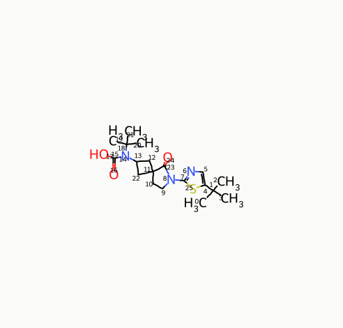 CC(C)(C)c1cnc(N2CCC3(CC(N(C(=O)O)C(C)(C)C)C3)C2=O)s1